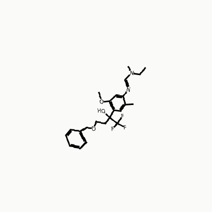 CCN(C)/C=N/c1cc(OC)c(C(O)(CCOCc2ccccc2)C(F)(F)F)cc1C